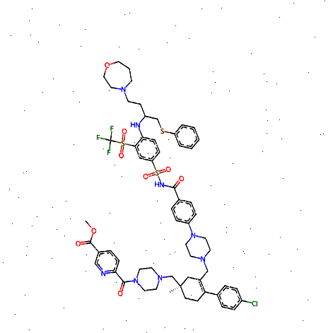 COC(=O)c1ccc(C(=O)N2CCN(C[C@]3(C)CCC(c4ccc(Cl)cc4)=C(CN4CCN(c5ccc(C(=O)NS(=O)(=O)c6ccc(NC(CCN7CCCOCC7)CSc7ccccc7)c(S(=O)(=O)C(F)(F)F)c6)cc5)CC4)C3)CC2)nc1